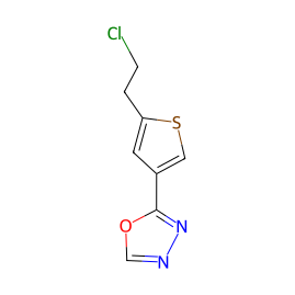 ClCCc1cc(-c2nnco2)cs1